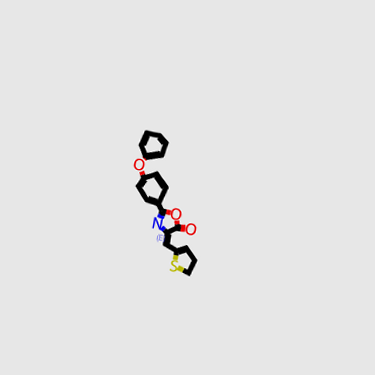 O=C1OC(c2ccc(Oc3ccccc3)cc2)=N/C1=C/C1=CCCS1